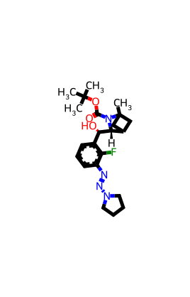 CC(C)(C)OC(=O)N1[C@@H]([C@H](O)c2cccc(/N=N/N3CCCC3)c2F)C2CC1(C)C2